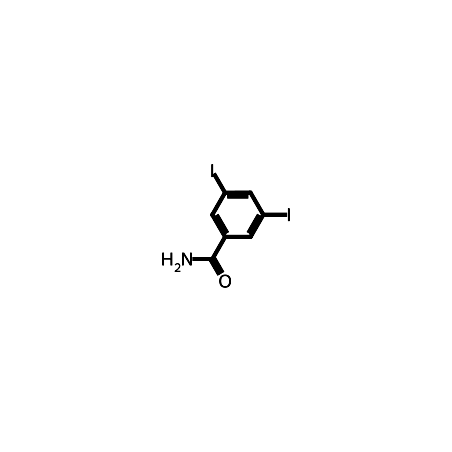 NC(=O)c1cc(I)cc(I)c1